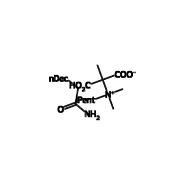 CCCC(C)[N+](C)(C)C(C)(C(=O)[O-])C(=O)O.CCCCCCCCCCCC(N)=O